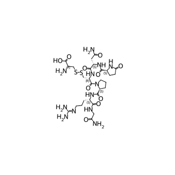 NC(=O)CNC(=O)[C@H](CCCN=C(N)N)NC(=O)[C@@H]1CCCN1C(=O)[C@H](CSSC[C@H](N)C(=O)O)NC(=O)[C@H](CC(N)=O)NC(=O)[C@@H]1CCC(=O)N1